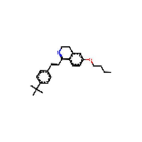 CCCCOc1ccc2c(c1)CCN=C2/C=C/c1ccc(C(C)(C)C)cc1